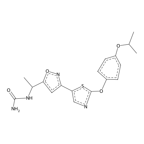 CC(C)Oc1ccc(Oc2ncc(-c3cc(C(C)NC(N)=O)on3)s2)cc1